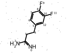 N=C(N)CCc1ccc(F)c(F)c1